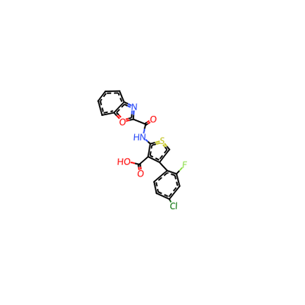 O=C(Nc1scc(-c2ccc(Cl)cc2F)c1C(=O)O)c1nc2ccccc2o1